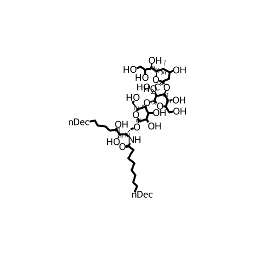 CCCCCCCCCCCCCCCCCC(=O)N[C@@H](CO[C@@H]1O[C@@H](CO)[C@@H](O[C@@H]2OC(CO)[C@H](O)[C@H](O[C@]3(C(=O)O)CC(O)[C@@H](C)[C@H]([C@H](O)C(O)CO)O3)C2O)C(O)C1O)[C@H](O)[C@H](O)CCCCCCCCCCCCCC